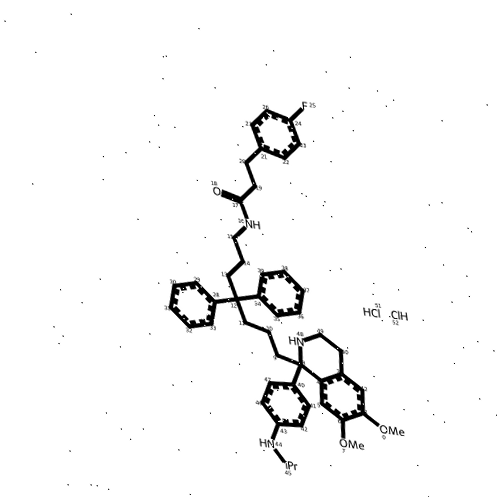 COc1cc2c(cc1OC)C(CCCC(CCCNC(=O)CCc1ccc(F)cc1)(c1ccccc1)c1ccccc1)(c1ccc(NC(C)C)cc1)NCC2.Cl.Cl